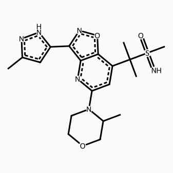 Cc1cc(-c2noc3c(C(C)(C)S(C)(=N)=O)cc(N4CCOCC4C)nc23)[nH]n1